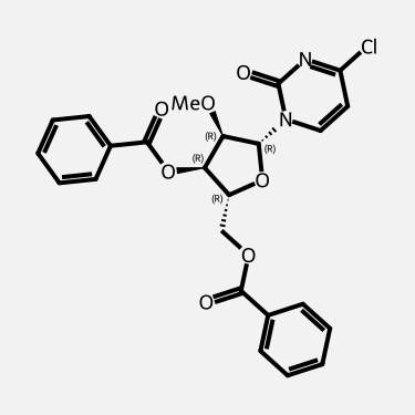 CO[C@@H]1[C@H](OC(=O)c2ccccc2)[C@@H](COC(=O)c2ccccc2)O[C@H]1n1ccc(Cl)nc1=O